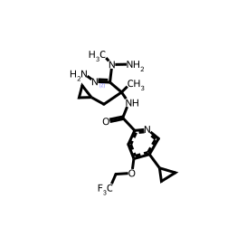 CN(N)/C(=N\N)C(C)(CC1CC1)NC(=O)c1cc(OCC(F)(F)F)c(C2CC2)cn1